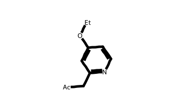 CCOc1ccnc(CC(C)=O)c1